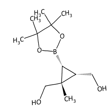 CC1(C)OB([C@@H]2[C@H](CO)[C@]2(C)CO)OC1(C)C